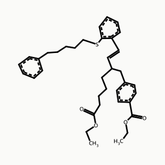 CCOC(=O)CCCCC(/C=C/c1ccccc1SCCCCCc1ccccc1)Cc1ccc(C(=O)OCC)cc1